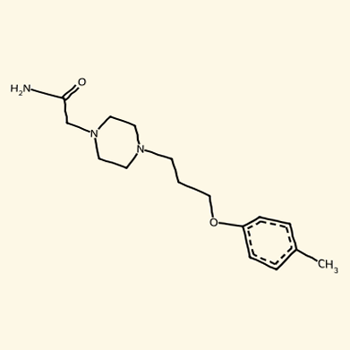 Cc1ccc(OCCCN2CCN(CC(N)=O)CC2)cc1